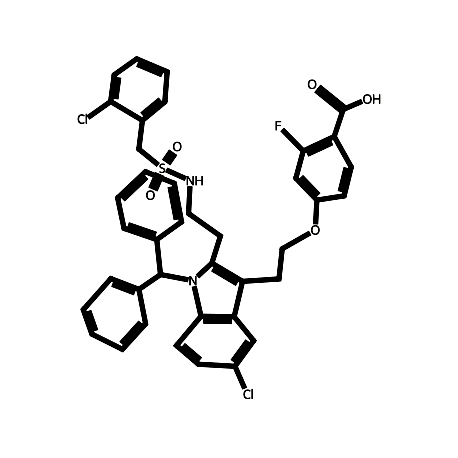 O=C(O)c1ccc(OCCc2c(CCNS(=O)(=O)Cc3ccccc3Cl)n(C(c3ccccc3)c3ccccc3)c3ccc(Cl)cc23)cc1F